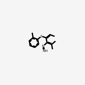 C/C=C(/Sc1ccccc1C)C(N=N)=C(C)C